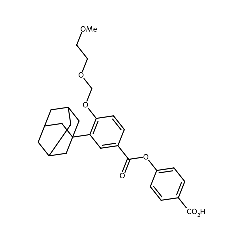 COCCOCOc1ccc(C(=O)Oc2ccc(C(=O)O)cc2)cc1C12CC3CC(CC(C3)C1)C2